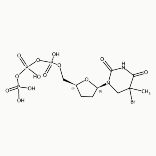 CC1(Br)CN([C@H]2CC[C@@H](COP(=O)(O)OP(=O)(O)OP(=O)(O)O)O2)C(=O)NC1=O